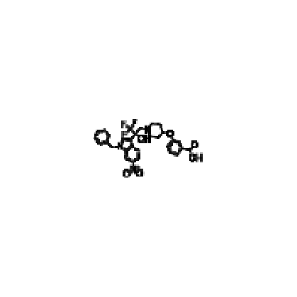 O=C(O)c1cccc(OC2CCN(CC(O)(c3cn(Cc4ccccc4)c4cc([N+](=O)[O-])ccc34)C(F)(F)F)CC2)c1